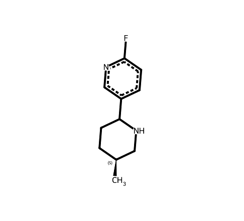 C[C@H]1CCC(c2ccc(F)nc2)NC1